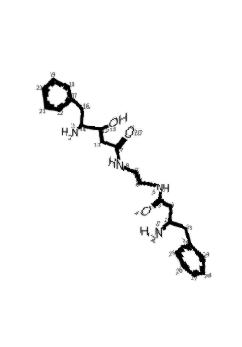 NC(CC(=O)NCCNC(=O)CC(O)C(N)Cc1ccccc1)Cc1ccccc1